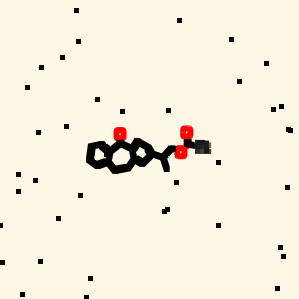 CCC(=O)OCC(C)c1ccc2c(=O)c3ccccc3ccc2c1